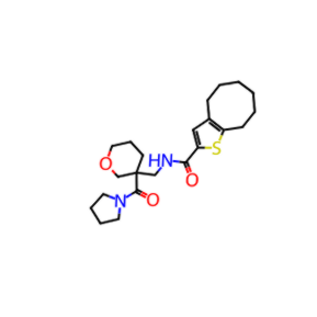 O=C(NCC1(C(=O)N2CCCC2)CCCOC1)c1cc2c(s1)CCCCCC2